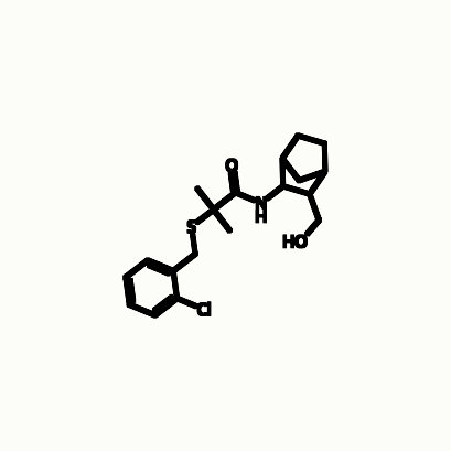 CC(C)(SCc1ccccc1Cl)C(=O)NC1C2CCC(C2)C1CO